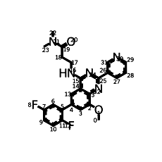 COc1cc(-c2cc(F)ccc2F)cc2c(NCCC(=O)N(C)C)nc(-c3cccnc3)nc12